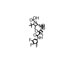 Cn1cc2c(c1C(=O)Nc1cc(F)c(F)c(F)c1)OCC1C(CN(C(=O)O)C1C(C)(C)C)NS2(=O)=O